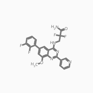 COc1cc(-c2cccc(F)c2F)cc2c(NCC(F)(F)C(N)=O)nc(-c3cccnc3)nc12